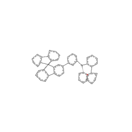 c1ccc(-c2ccccc2N(c2ccccc2)c2cccc(-c3ccc4c(c3)C3(c5ccccc5-c5ccccc53)c3ccccc3-4)c2)cc1